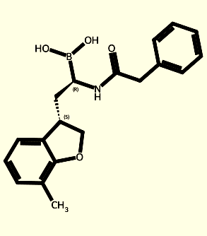 Cc1cccc2c1OC[C@H]2C[C@H](NC(=O)Cc1ccccc1)B(O)O